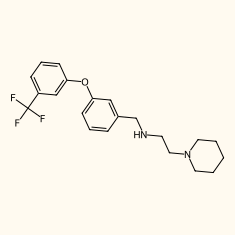 FC(F)(F)c1cccc(Oc2cccc(CNCCN3CCCCC3)c2)c1